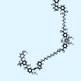 Cc1ccc(C(=O)Nc2ccc(CN3CCN(C)CC3)c(C(F)(F)F)c2)cc1C#Cc1cnc2cc(OCCOCCOCCOCCNC(=O)c3ccc([Si](C)(C)O[Si](C)(C)c4ccc(C(=O)NCCOCCOCCNC(=O)c5cccc(-c6cc(Nc7ccc(OC(F)(F)F)cc7)ncn6)c5)cc4)cc3)ccn12